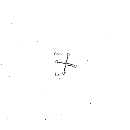 O=P([O-])([O-])[O-].[Cr+3].[La]